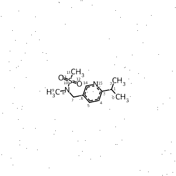 CC(C)c1ccc(CN(C)S(C)(=O)=O)cn1